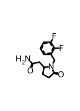 NC(=O)CC1CCC(=O)N1Cc1cccc(F)c1F